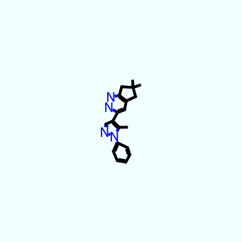 Cc1c(-c2cc3c(nn2)CC(C)(C)C3)cnn1-c1ccccc1